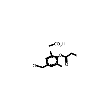 CC(=O)O.Cc1cc(CCl)cc(C)c1OC(=O)CI